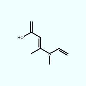 C=CN(C)/C(C)=C/C(=C)O